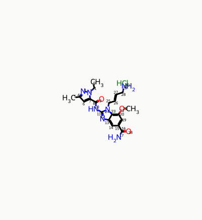 CCn1nc(C)cc1C(=O)Nc1nc2cc(C(N)=O)cc(OC)c2n1C/C=C/CN.Cl